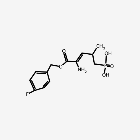 CC(C=C(N)C(=O)OCc1ccc(F)cc1)CP(=O)(O)O